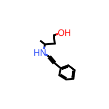 CC(CCO)NC#Cc1ccccc1